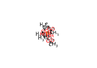 CC.CC(=O)OP(=O)(O)O.CCOC(C)=O.CCOC(C)=O